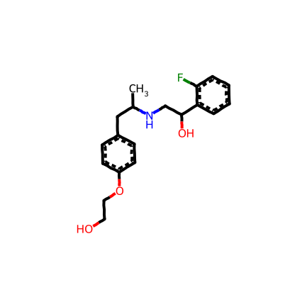 CC(Cc1ccc(OCCO)cc1)NCC(O)c1ccccc1F